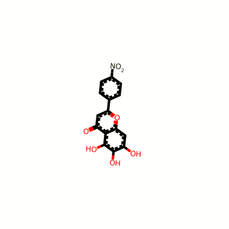 O=c1cc(-c2ccc([N+](=O)[O-])cc2)oc2cc(O)c(O)c(O)c12